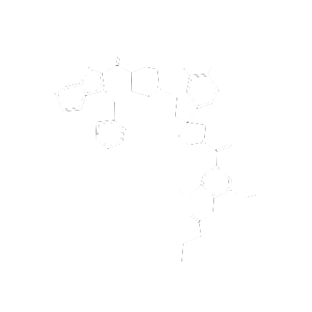 CCCC(=O)Oc1c(OC)cc(C(=O)N2CCC(CCN3CCC(C(=O)c4nc5ccccc5n4Cc4ccccn4)CC3)(c3ccc(Cl)c(Cl)c3)C2)cc1OC